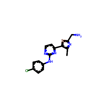 Cc1nc(CN)sc1-c1ccnc(Nc2ccc(Cl)cc2)n1